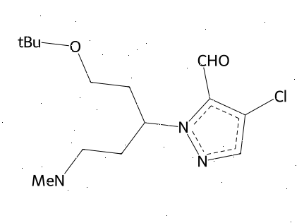 CNCCC(CCOC(C)(C)C)n1ncc(Cl)c1C=O